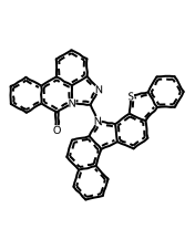 O=c1c2ccccc2c2cccc3nc(-n4c5ccc6ccccc6c5c5ccc6c7ccccc7sc6c54)n1c32